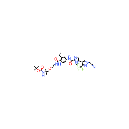 CCc1cc(NC(=O)c2ncc(-c3cn(CC#N)nc3C(F)(F)F)n2C)ccc1C(=O)NCCOCC(C)(C)NC(=O)OC(C)(C)C